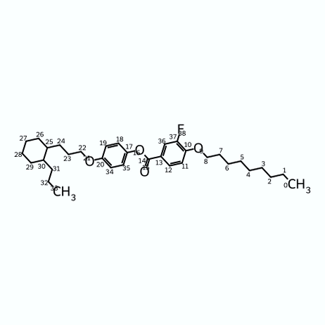 CCCCCCCCCOc1ccc(C(=O)Oc2ccc(OCCCC3CCCCC3CCC)cc2)cc1F